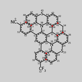 N#Cc1ccc(-c2cc(-c3ccc(C(F)(F)F)cc3)c(N3c4ccccc4Sc4ccccc43)c(C3CCCCC3)c2N2c3ccccc3Sc3ccccc32)cc1